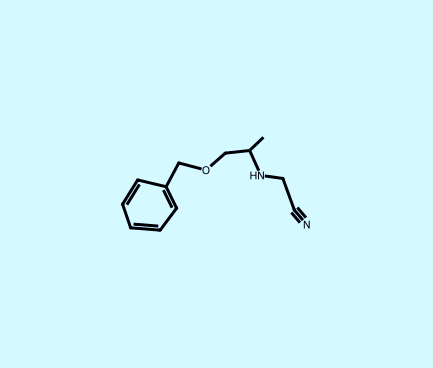 CC(COCc1ccccc1)NCC#N